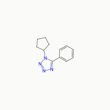 c1ccc(-c2nnnn2C2CCCC2)cc1